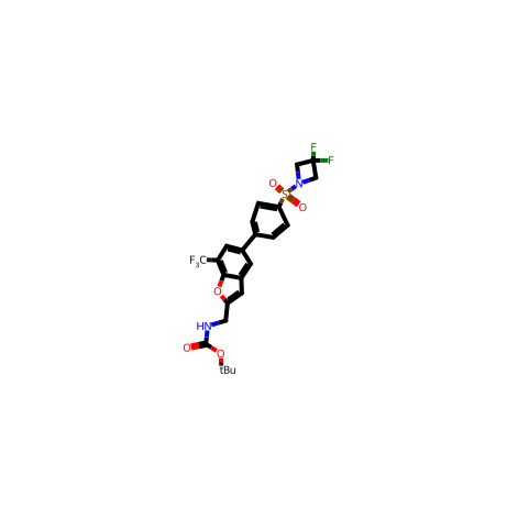 CC(C)(C)OC(=O)NCc1cc2cc(-c3ccc(S(=O)(=O)N4CC(F)(F)C4)cc3)cc(C(F)(F)F)c2o1